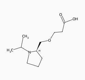 CC(C)N1CCC[C@@H]1COCCC(=O)O